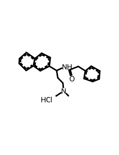 CN(C)CCC(NC(=O)Cc1ccccc1)c1ccc2ccccc2c1.Cl